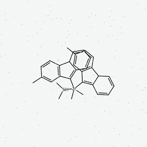 Cc1ccc2c(c1)[C]([Zr]([CH3])([CH3])([C]1=C3C=CC=CC3c3ccc(C)cc31)[SiH](C)C)=C1C=CC=CC12